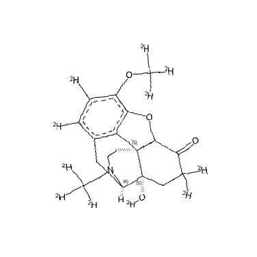 [2H]O[C@@]12CC([2H])([2H])C(=O)C3Oc4c(OC([2H])([2H])[2H])c([2H])c([2H])c5c4[C@@]31CCN(C([2H])([2H])[2H])[C@@H]2C5